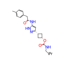 Cc1ccc(CC(=O)Nc2cc([C@H]3C[C@@H](OC(=O)NCC(C)C)C3)n[nH]2)cc1